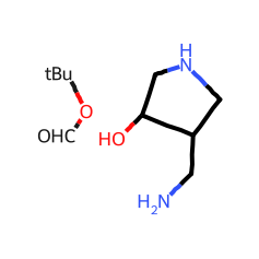 CC(C)(C)OC=O.NCC1CNCC1O